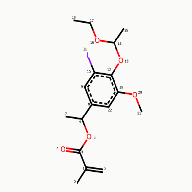 C=C(C)C(=O)OC(C)c1cc(I)c(OC(C)OCC)c(OC)c1